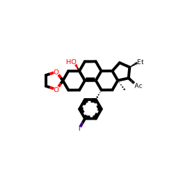 CC[C@@H]1CC2C3CC[C@@]4(O)CC5(CCC4=C3[C@@H](c3ccc(I)cc3)C[C@]2(C)C1C(C)=O)OCCO5